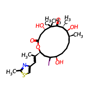 C/C(=C\c1csc(C)n1)[C@@H]1CC(I)[C@H](O)CCC[C@H](C)[C@H](O)[C@@H](C)C(=O)C(C)(C)[C@@H](O)CC(=O)O1